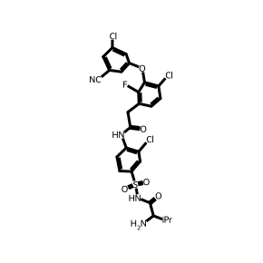 CC(C)C(N)C(=O)NS(=O)(=O)c1ccc(NC(=O)Cc2ccc(Cl)c(Oc3cc(Cl)cc(C#N)c3)c2F)c(Cl)c1